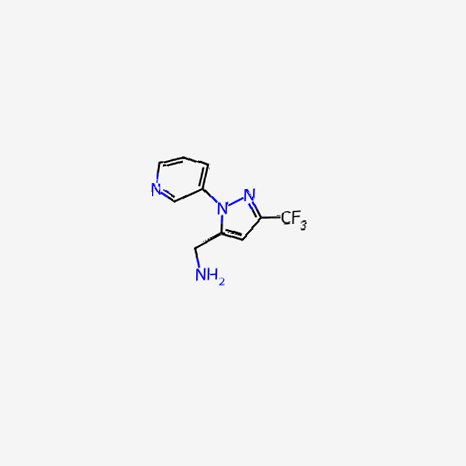 NCc1cc(C(F)(F)F)nn1-c1cccnc1